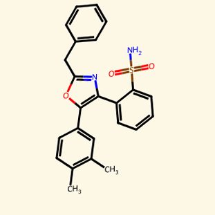 Cc1ccc(-c2oc(Cc3ccccc3)nc2-c2ccccc2S(N)(=O)=O)cc1C